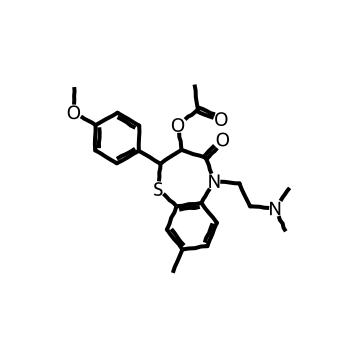 COc1ccc(C2Sc3cc(C)ccc3N(CCN(C)C)C(=O)C2OC(C)=O)cc1